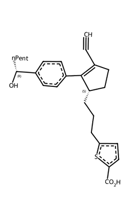 C#CC1=C(c2ccc([C@H](O)CCCCC)cc2)[C@@H](CCCc2ccc(C(=O)O)s2)CC1